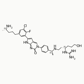 C[C@H](N)CCCc1cc(Cl)c(F)c(-c2cc3cn(-c4ccc([C@H](C)NCC[C@H](CCCO)NC(=N)N)cc4)c(=O)nc3[nH]2)c1